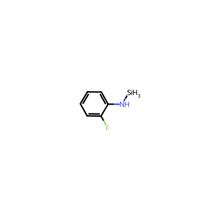 Fc1ccccc1N[SiH3]